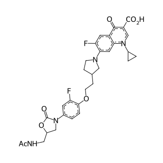 CC(=O)NCC1CN(c2ccc(OCCC3CCN(c4cc5c(cc4F)c(=O)c(C(=O)O)cn5C4CC4)C3)c(F)c2)C(=O)O1